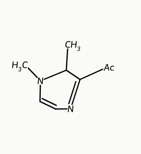 CC(=O)C1=NC=CN(C)C1C